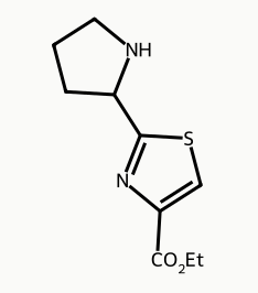 CCOC(=O)c1csc(C2CCCN2)n1